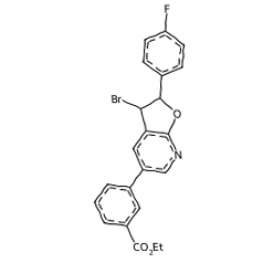 CCOC(=O)c1cccc(-c2cnc3c(c2)C(Br)C(c2ccc(F)cc2)O3)c1